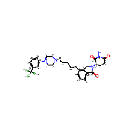 O=C1CCC(N2Cc3c(CCCCCN4CCN(c5cccc(C(F)(F)F)c5)CC4)cccc3C2=O)C(=O)N1